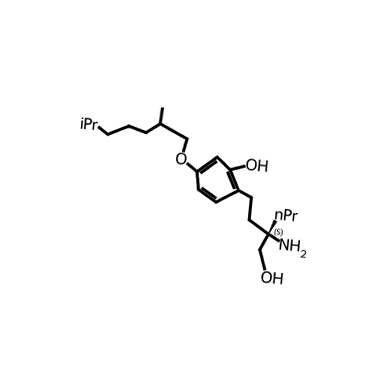 CCC[C@@](N)(CO)CCc1ccc(OCC(C)CCCC(C)C)cc1O